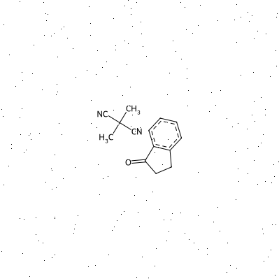 CC(C)(C#N)C#N.O=C1CCc2ccccc21